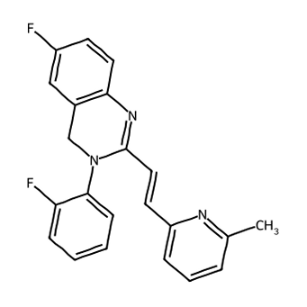 Cc1cccc(C=CC2=Nc3ccc(F)cc3CN2c2ccccc2F)n1